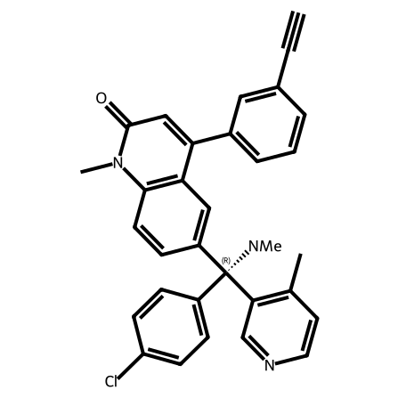 C#Cc1cccc(-c2cc(=O)n(C)c3ccc([C@](NC)(c4ccc(Cl)cc4)c4cnccc4C)cc23)c1